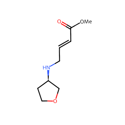 COC(=O)C=CCN[C@@H]1CCOC1